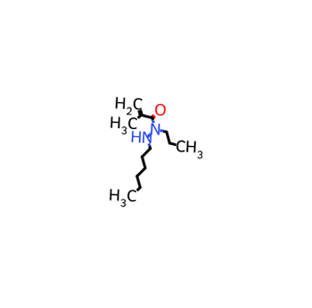 C=C(C)C(=O)N(CCC)NCCCCCC